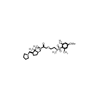 COc1cc(C)c(S(=O)(=O)N(C)CCOCC(=O)N(C)C[C@H]2CC/C(=C\N3CCCC3)C2(C)C)c(C)c1